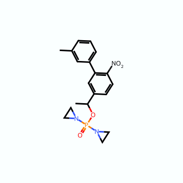 Cc1cccc(-c2cc(C(C)OP(=O)(N3CC3)N3CC3)ccc2[N+](=O)[O-])c1